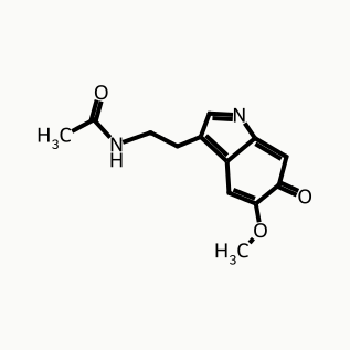 COC1=CC2=C(CCNC(C)=O)C=NC2=CC1=O